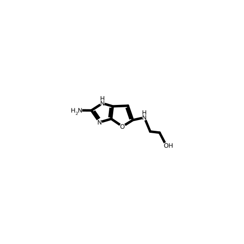 Nc1nc2oc(NCCO)cc2[nH]1